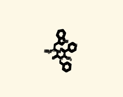 CN(C(=O)c1ccncc1)[C@H](Cc1ccccc1)C(=O)N[C@@H](Cc1c[nH]c2ccccc12)C(=O)O